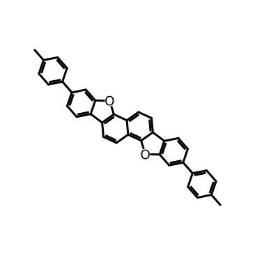 Cc1ccc(-c2ccc3c(c2)oc2c3ccc3c2ccc2c4ccc(-c5ccc(C)cc5)cc4oc23)cc1